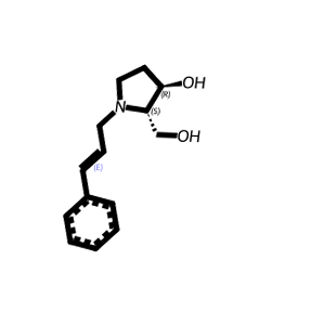 OC[C@H]1[C@H](O)CCN1C/C=C/c1ccccc1